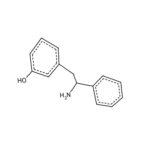 NC(Cc1cccc(O)c1)c1ccccc1